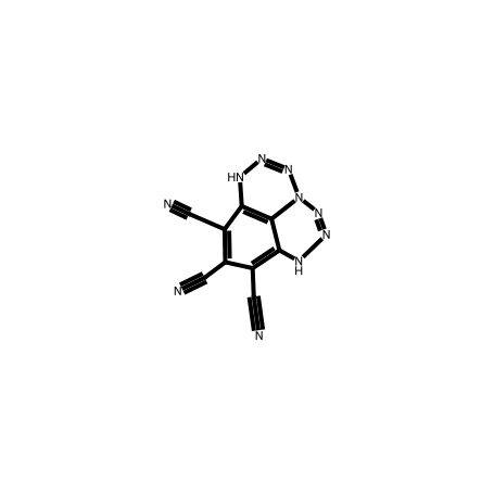 N#Cc1c(C#N)c2c3c(c1C#N)NN=NN3N=NN2